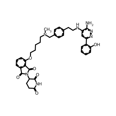 CN(CCCCCOc1cccc2c1C(=O)N(C1CCC(=O)NC1=O)C2=O)Cc1ccc(CCNc2cc(-c3ccccc3O)nnc2N)cc1